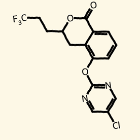 O=C1OC(CCC(F)(F)F)Cc2c(Oc3ncc(Cl)cn3)cccc21